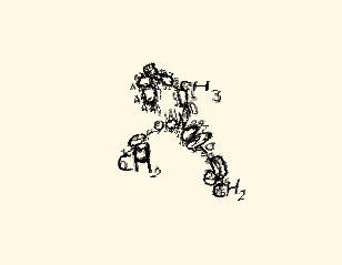 C=CC(=O)OCCCOc1ccc(N(c2ccc(OCCCOC(=O)C=C)cc2)c2ccc(C)c(-c3ccc4oc5ccc6ccccc6c5c4c3)c2)cc1